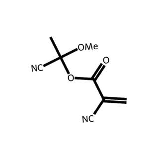 C=C(C#N)C(=O)OC(C)(C#N)OC